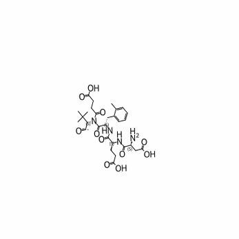 Cc1ccccc1C[C@H](NC(=O)[C@H](CCC(=O)O)NC(=O)[C@@H](N)CC(=O)O)C(=O)N(C(=O)CCC(=O)O)[C@H]([C]=O)C(C)(C)C